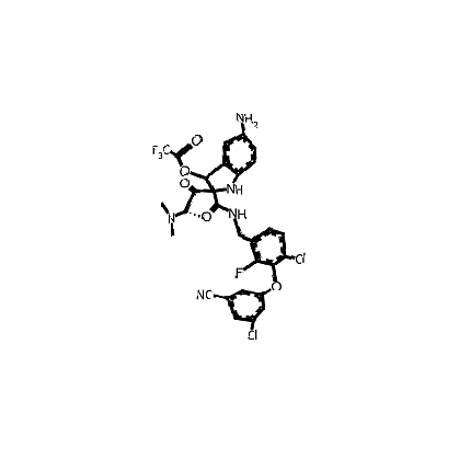 C[C@@H](C(=O)C1(C(=O)NCc2ccc(Cl)c(Oc3cc(Cl)cc(C#N)c3)c2F)Nc2ccc(N)cc2C1OC(=O)C(F)(F)F)N(C)C